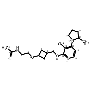 CC(=O)NCCOC1CC(COc2nccc(N3CCCC3C)c2Cl)C1